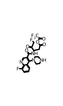 O=C(CC(NC(=O)c1cnc2c(F)cccc2c1N1CCNCC1)C(=O)CF)OC(=O)C(F)(F)F